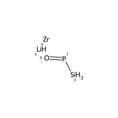 O=P[SiH3].[LiH].[Zr]